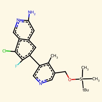 Cc1c(CO[Si](C)(C)C(C)(C)C)cncc1-c1cc2cc(N)ncc2c(Cl)c1F